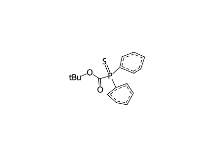 CC(C)(C)OC(=O)P(=S)(c1ccccc1)c1ccccc1